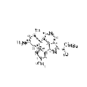 Cn1cc(-c2nn(C(=O)OC(C)(C)C)c3cncc(-c4c(F)cc(N)cc4F)c23)cn1